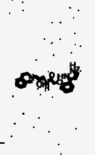 N=C(/C=C\N)c1ccccc1OCC(=O)NCC(O)CN1CCc2ccccc2C1